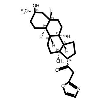 C[C@]12CC[C@H]3[C@@H](CC[C@H]4C[C@@](O)(C(F)(F)F)CC[C@@H]43)[C@@H]1CC[C@@H]2C(=O)Cc1ncco1